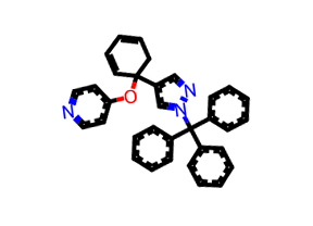 C1=CCC(Oc2ccncc2)(c2cnn(C(c3ccccc3)(c3ccccc3)c3ccccc3)c2)C=C1